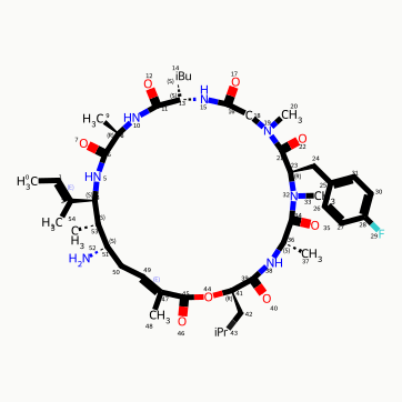 C/C=C(\C)[C@H]1NC(=O)[C@@H](C)NC(=O)[C@H]([C@@H](C)CC)NC(=O)CN(C)C(=O)[C@@H](Cc2ccc(F)cc2)N(C)C(=O)[C@H](C)NC(=O)[C@@H](CC(C)C)OC(=O)/C(C)=C/C[C@H](N)[C@@H]1C